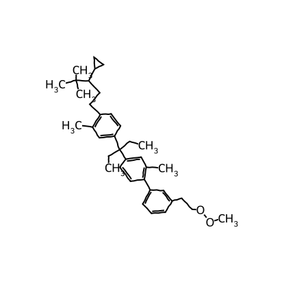 CCC(CC)(c1ccc(CCC(C2CC2)C(C)(C)C)c(C)c1)c1ccc(-c2cccc(CCOOC)c2)c(C)c1